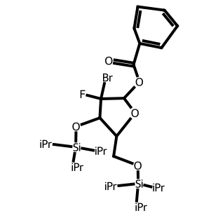 CC(C)[Si](OCC1OC(OC(=O)c2ccccc2)C(F)(Br)C1O[Si](C(C)C)(C(C)C)C(C)C)(C(C)C)C(C)C